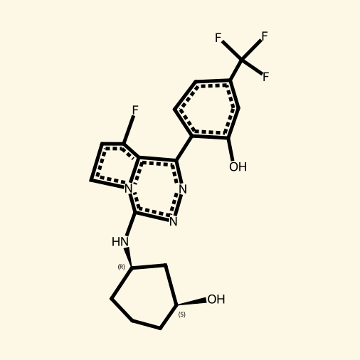 Oc1cc(C(F)(F)F)ccc1-c1nnc(N[C@@H]2CCC[C@H](O)C2)n2ccc(F)c12